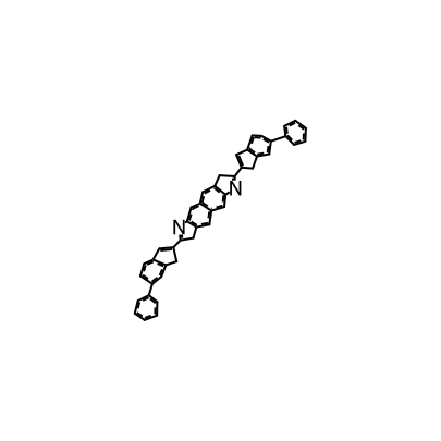 C1=C(C2=Nc3cc4cc5c(cc4cc3C2)N=C(C2=Cc3ccc(-c4ccccc4)cc3C2)C5)Cc2cc(-c3ccccc3)ccc21